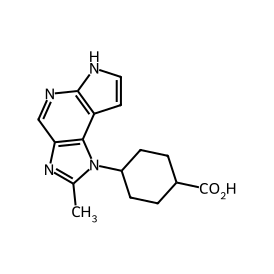 Cc1nc2cnc3[nH]ccc3c2n1C1CCC(C(=O)O)CC1